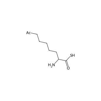 CC(=O)CCCCCC(N)C(=O)S